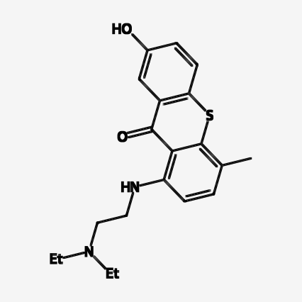 CCN(CC)CCNc1ccc(C)c2sc3ccc(O)cc3c(=O)c12